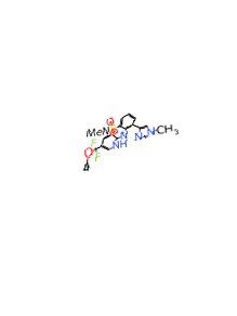 CNS(=O)(=O)c1cccc(-c2cn(C)cn2)c1Nc1ccc(C(F)(F)OC2CC2)cn1